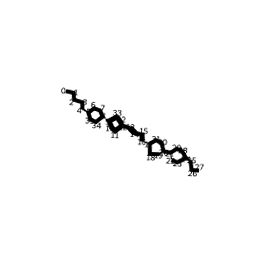 CCCCC[C@H]1CC[C@H](c2ccc(C#CC=C[C@H]3CC[C@H]([C@H]4CC[C@H](CCC)CC4)CC3)cc2)CC1